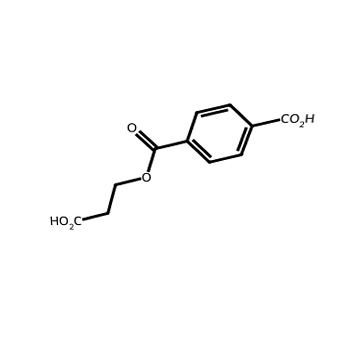 O=C(O)CCOC(=O)c1ccc(C(=O)O)cc1